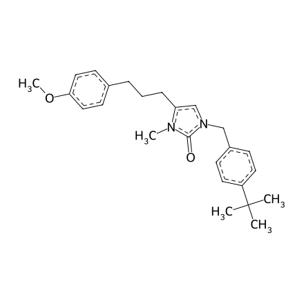 COc1ccc(CCCc2cn(Cc3ccc(C(C)(C)C)cc3)c(=O)n2C)cc1